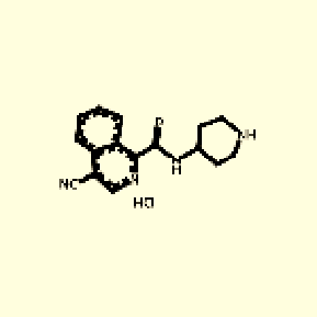 Cl.N#Cc1cnc(C(=O)NC2CCNCC2)c2ccccc12